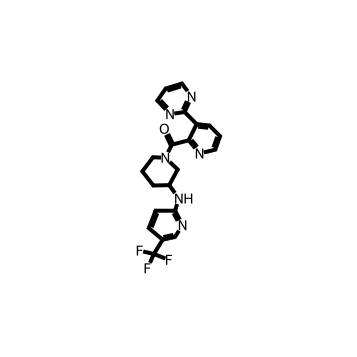 O=C(c1ncccc1-c1ncccn1)N1CCCC(Nc2ccc(C(F)(F)F)cn2)C1